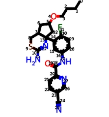 CCCCOC1CC2CSC(N)=NC2(c2cc(NC(=O)c3ccc(C#N)cn3)ccc2F)C1